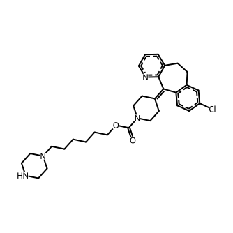 O=C(OCCCCCCN1CCNCC1)N1CCC(=C2c3ccc(Cl)cc3CCc3cccnc32)CC1